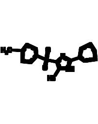 Cc1ccc(S(=O)(=O)c2nc(-c3ccccc3)[nH]c2S)cc1